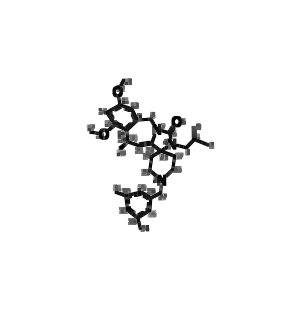 C=C(C)CN1C(=O)N2Cc3cc(OC)cc(OC)c3[C@H](C)C=C2C12CCN(Cc1cc(C)cc(C)c1)CC2